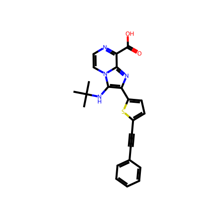 CC(C)(C)Nc1c(-c2ccc(C#Cc3ccccc3)s2)nc2c(C(=O)O)nccn12